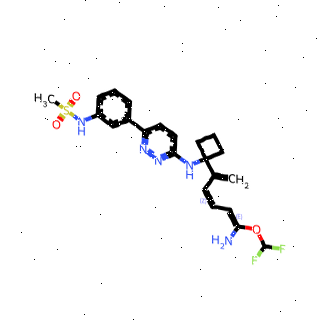 C=C(/C=C\C=C(/N)OC(F)F)C1(Nc2ccc(-c3cccc(NS(C)(=O)=O)c3)nn2)CCC1